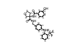 O=C(NC1(C(=O)NCc2ccc(Nc3ccccc3C(F)(F)F)cc2)CCOC1)c1ccnc(O)c1